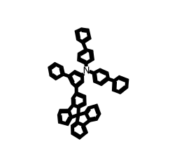 c1ccc(-c2ccc(N(c3ccc(-c4ccccc4)cc3)c3cc(-c4ccccc4)cc(-c4ccc5c(c4)-c4ccccc4C54c5ccccc5-c5ccccc54)c3)cc2)cc1